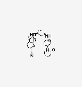 N#Cc1ccc2sc(N[C@H]3CC[C@H](Nc4ccc(-n5ccccc5=O)cn4)C3)nc2c1